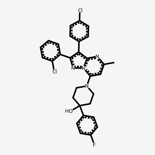 Cc1cc(N2CCC(O)(c3ccc(F)cc3)CC2)n2nc(-c3ccccc3Cl)c(-c3ccc(Cl)cc3)c2n1